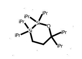 CC(C)C1(C(C)C)CC[Si](C(C)C)(C(C)C)[Si](C(C)C)(C(C)C)O1